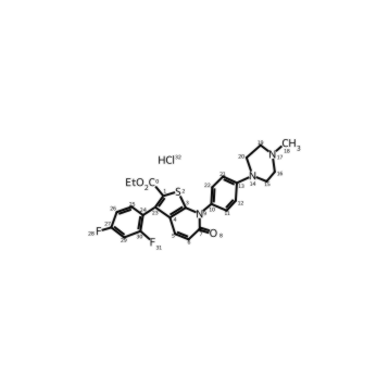 CCOC(=O)c1sc2c(ccc(=O)n2-c2ccc(N3CCN(C)CC3)cc2)c1-c1ccc(F)cc1F.Cl